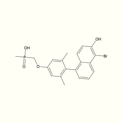 Cc1cc(OCP(C)(=O)O)cc(C)c1-c1cccc2c(Br)c(O)ccc12